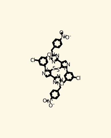 O=[N+]([O-])c1ccc(Cn2nnc(-c3cnn(-c4cc(Cl)cc(Cl)c4)c3SSc3c(-c4nnn(Cc5ccc([N+](=O)[O-])cc5)n4)cnn3-c3cc(Cl)cc(Cl)c3)n2)cc1